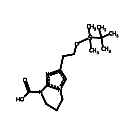 CC(C)(C)[Si](C)(C)OCCc1cn2c(n1)N(C(=O)O)CCC2